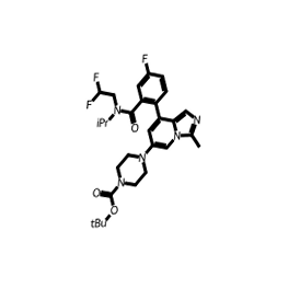 Cc1ncc2c(-c3ccc(F)cc3C(=O)N(CC(F)F)C(C)C)cc(N3CCN(C(=O)OC(C)(C)C)CC3)cn12